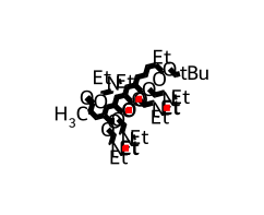 CCC(CCCC(CC(CC(CC(CC(C)C(=O)OCCN(CC)CC)C(=O)OCCN(CC)CC)C(=O)OCCN(CC)CC)C(=O)OCCN(CC)CC)C(=O)OCCN(CC)CC)C(=O)OCC(C)(C)C